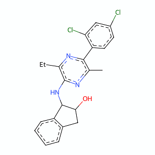 CCc1nc(-c2ccc(Cl)cc2Cl)c(C)nc1NC1c2ccccc2CC1O